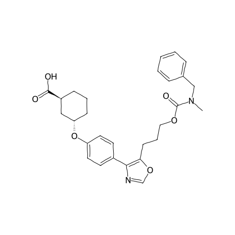 CN(Cc1ccccc1)C(=O)OCCCc1ocnc1-c1ccc(O[C@H]2CCC[C@H](C(=O)O)C2)cc1